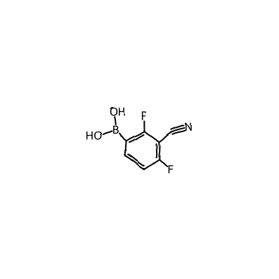 N#Cc1c(F)ccc(B(O)O)c1F